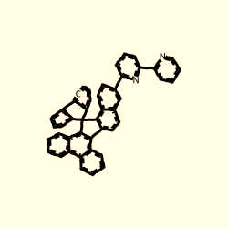 c1ccc(-c2cccc(-c3ccc4c5c(ccc4c3)-c3c(c4ccccc4c4ccccc34)C53c4ccccc4-c4ccccc43)n2)nc1